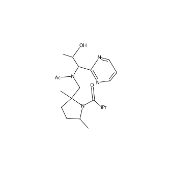 CC(=O)N(CC1(C)CCC(C)N1C(=O)C(C)C)C(c1ncccn1)C(C)O